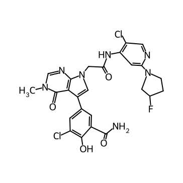 Cn1cnc2c(c(-c3cc(Cl)c(O)c(C(N)=O)c3)cn2CC(=O)Nc2cc(N3CCC(F)C3)ncc2Cl)c1=O